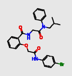 CC(C)CN(C(=O)CNC(=O)c1ccccc1OCC(=O)Nc1ccc(Br)cc1)c1ccccc1